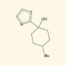 CCC(C)C1CCC(O)(c2nccs2)CC1